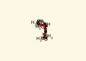 CCCC(C(=O)NC=O)c1cnc(CCN2CC3CC2CN3c2ccc(-c3cnc4[nH]nc(-c5ccc(CNC(=O)c6noc(C(C)(C)C)n6)c(C)c5)c4c3)nc2)cc1C